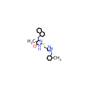 Cc1ccccc1Cn1cc(CSc2nc(Cc3cccc4ccccc34)c(C)c(=O)[nH]2)nn1